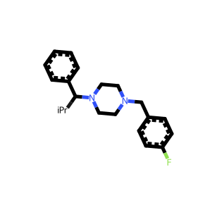 CC(C)C(c1ccccc1)N1CCN(Cc2ccc(F)cc2)CC1